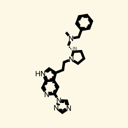 CN(Cc1ccccc1)C[C@@H]1CCCN1CCc1c[nH]c2cnc(-n3cncn3)cc12